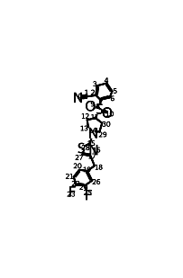 N#Cc1ccccc1S(=O)(=O)C1CCN(c2nc(Cc3ccc(F)c(F)c3)cs2)CC1